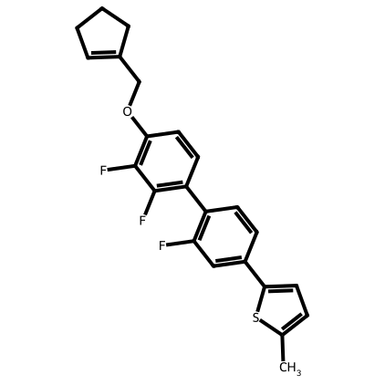 Cc1ccc(-c2ccc(-c3ccc(OCC4=CCCC4)c(F)c3F)c(F)c2)s1